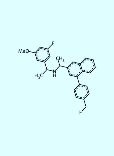 COc1cc(F)cc(C(C)NC(C)c2cc(-c3ccc(CF)cc3)c3ccccc3c2)c1